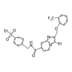 CCc1c(COc2ccccc2C(F)(F)F)nc2cc(C(=O)NCc3ccc(S(=O)(=O)CC)cc3)ccn12